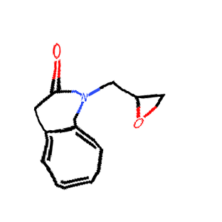 O=C1Cc2ccccc2N1CC1CO1